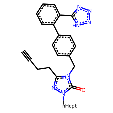 C#CCCc1nn(CCCCCCC)c(=O)n1Cc1ccc(-c2ccccc2-c2nnn[nH]2)cc1